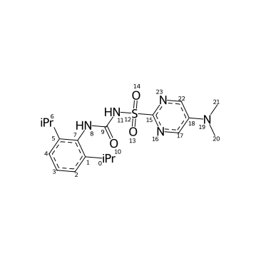 CC(C)c1cccc(C(C)C)c1NC(=O)NS(=O)(=O)c1ncc(N(C)C)cn1